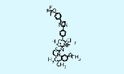 COc1ccc(C(C)C)c(N2CCCS/C2=N\C(=O)NC(C)C(C)c2ccc(-c3ncn(-c4ccc(OC(F)(F)F)cc4)n3)cc2)c1